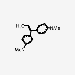 CC=C(c1ccc(NC)cc1)c1ccc(NC)cc1